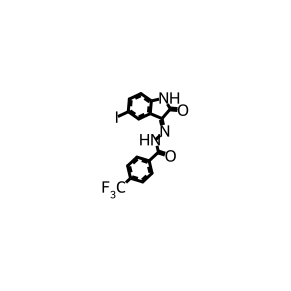 O=C1Nc2ccc(I)cc2/C1=N\NC(=O)c1ccc(C(F)(F)F)cc1